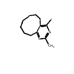 Cc1nc(I)c2c(n1)CCCCCCC2